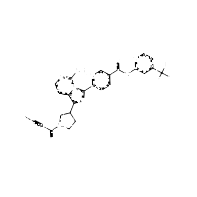 CC#CC(=O)N1CCC(c2nc(-c3ccc(C(=O)Nc4cc(C(F)(F)F)ccn4)cn3)n3c(N)nccc23)C1